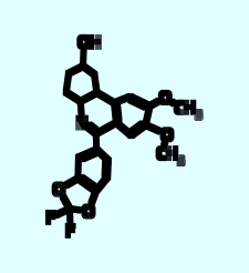 COc1cc2c(cc1OC)C1CC(O)CCC1N=C2c1ccc2c(c1)OC(F)(F)O2